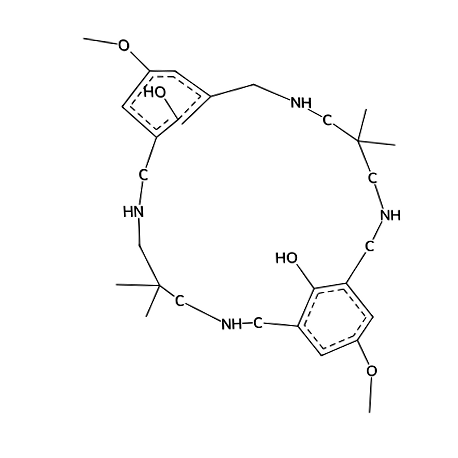 COc1cc2c(O)c(c1)CNCC(C)(C)CNCc1cc(OC)cc(c1O)CNCC(C)(C)CNC2